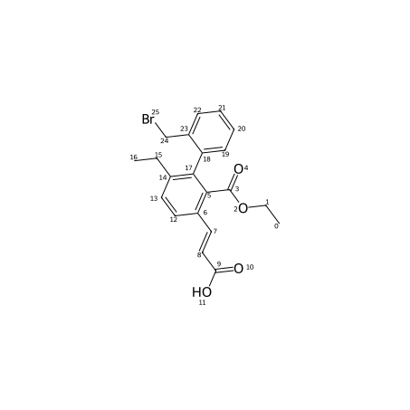 CCOC(=O)c1c(C=CC(=O)O)ccc(CC)c1-c1ccccc1CBr